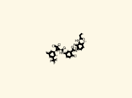 CCC(=O)Nc1c(F)ccc(NC(=O)c2cc(NC(=O)[C@H]3[C@H](c4cc(C)cc(C(F)(F)F)c4)C3(Cl)Cl)ccc2Cl)c1F